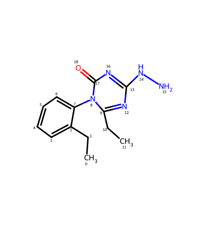 CCc1ccccc1-n1c(CC)nc(NN)nc1=O